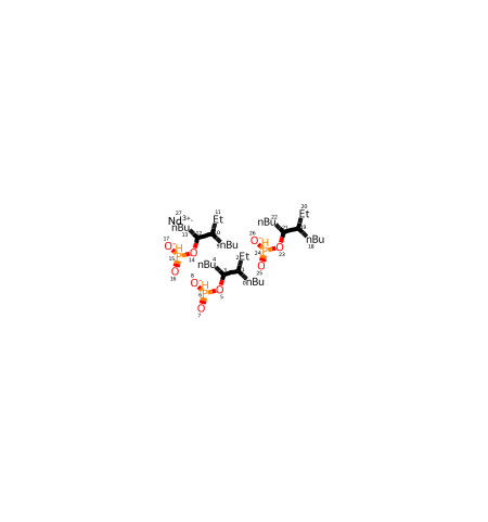 CCCCC(CC)C(CCCC)O[PH](=O)[O-].CCCCC(CC)C(CCCC)O[PH](=O)[O-].CCCCC(CC)C(CCCC)O[PH](=O)[O-].[Nd+3]